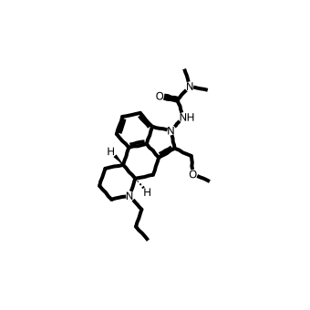 CCCN1CCC[C@@H]2c3cccc4c3c(c(COC)n4NC(=O)N(C)C)C[C@H]21